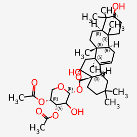 CC(=O)O[C@@H]1CO[C@H](OC(=O)[C@]23CCC(C)(C)C[C@H]2C2=CC[C@@H]4[C@@]5(C)CC[C@H](O)C(C)(C)[C@@H]5CC[C@@]4(C)[C@]2(C)CC3O)C(O)[C@@H]1OC(C)=O